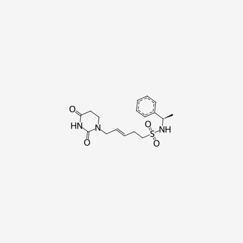 C[C@@H](NS(=O)(=O)CC/C=C/CN1CCC(=O)NC1=O)c1ccccc1